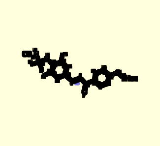 CCCCCCSc1ccc(C(=O)/C=C/c2cc(C)c(OC(C)(C)C(=O)O)c(C)c2)cc1